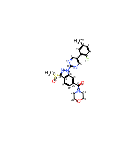 Cc1ccc(F)c(-c2cnc(-n3nc([S+](C)[O-])c4ccc(C(=O)N5CCOCC5)cc43)nc2)c1